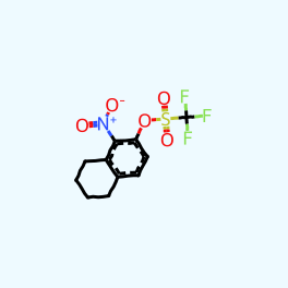 O=[N+]([O-])c1c(OS(=O)(=O)C(F)(F)F)ccc2c1CCCC2